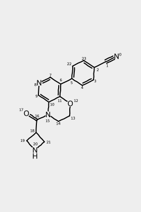 N#Cc1ccc(-c2cncc3c2OCCN3C(=O)C2CNC2)cc1